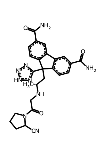 C[C@H](CC1(c2nn[nH]n2)c2ccc(C(N)=O)cc2-c2cc(C(N)=O)ccc21)NCC(=O)N1CCCC1C#N